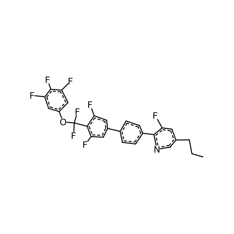 CCCc1cnc(-c2ccc(-c3cc(F)c(C(F)(F)Oc4cc(F)c(F)c(F)c4)c(F)c3)cc2)c(F)c1